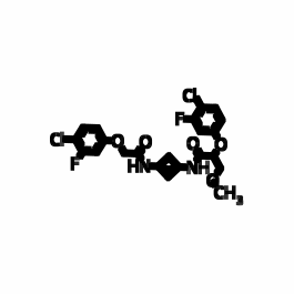 COCC(Oc1ccc(Cl)c(F)c1)C(=O)NC12CC(NC(=O)COc3ccc(Cl)c(F)c3)(C1)C2